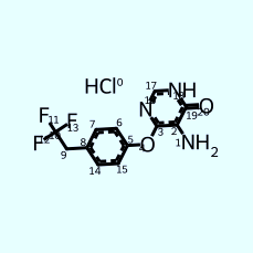 Cl.Nc1c(Oc2ccc(CC(F)(F)F)cc2)nc[nH]c1=O